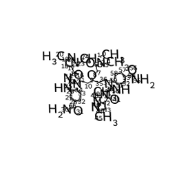 CCN(CC)C(=O)COC(CCn1c(=NC(=O)c2cc(C)nn2CC)[nH]c2cc(C(N)=O)ccc21)CCn1c(=NC(=O)c2cc(C)nn2CC)[nH]c2cc(C(N)=O)ccc21